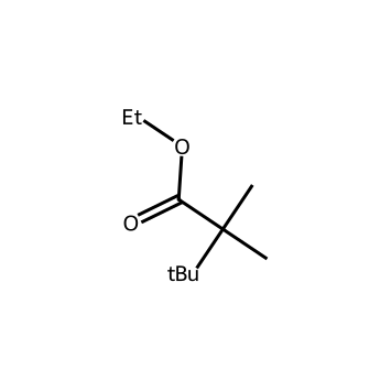 CCOC(=O)C(C)(C)C(C)(C)C